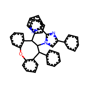 c1ccc(-c2cn(C3C(c4ccccc4)c4ccccc4Oc4ccccc4C3c3ccccc3)c(-c3ccccn3)n2)cc1